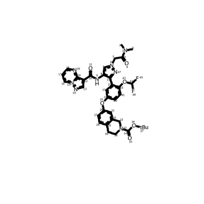 CN(C)C(=O)Cn1cc(NC(=O)c2cnn3cccnc23)c(-c2cc(Oc3ccc4c(c3)CN(C(=O)OC(C)(C)C)CC4)ccc2OC(F)F)n1